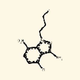 Nc1nn(CCCF)c2c([N+](=O)[O-])ccc(Cl)c12